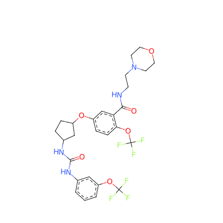 O=C(Nc1cccc(OC(F)(F)F)c1)NC1CCC(Oc2ccc(OC(F)(F)F)c(C(=O)NCCN3CCOCC3)c2)C1